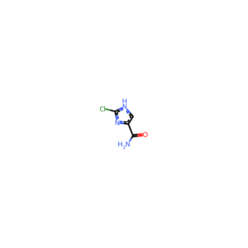 NC(=O)c1c[nH]c(Cl)n1